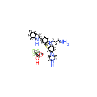 NCCCN1c2ccc(-c3cc4ccccc4[nH]3)cc2Sc2cc(N3CCNCC3)ccc21.O=C(O)C(F)(F)F